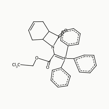 O=C(OCC(Cl)(Cl)Cl)C(N1C(=O)C2CC=CCC21)=P(c1ccccc1)(c1ccccc1)c1ccccc1